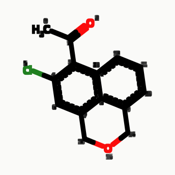 CC(=O)c1c(Cl)cc2c3c(cccc13)COC2